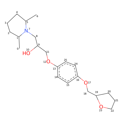 CC1CCCC(C)N1CC(O)COc1ccc(OCC2CCCO2)cc1